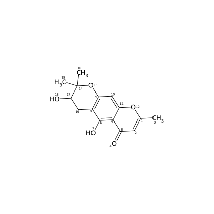 Cc1cc(=O)c2c(O)c3c(cc2o1)OC(C)(C)C(O)C3